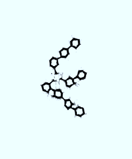 c1ccc(-c2ccc(-c3cccc(C4=NC(c5cccc6oc7cc(-c8ccc9c(c8)oc8ccccc89)ccc7c56)NC(c5ccc6sc7ccccc7c6c5)=N4)c3)cc2)cc1